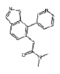 CN(C)C(=O)Sc1ccc2cnsc2c1-c1cccnc1